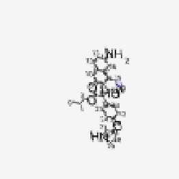 C=CCOC(=O)C(Cc1ccc2ccc(N)cc2c1/C=N\O)c1ccc(O[C@H]2CCNC2)cc1